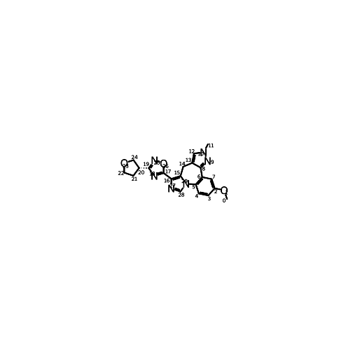 COc1ccc2c(c1)-c1nn(C)cc1Cc1c(-c3nc([C@@H]4CCOC4)no3)ncn1-2